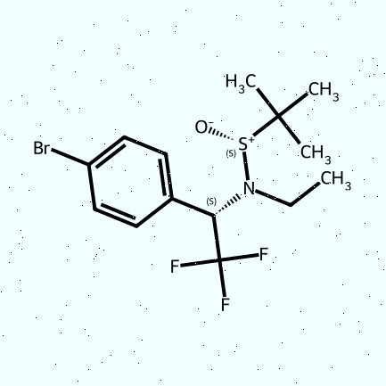 CCN([C@@H](c1ccc(Br)cc1)C(F)(F)F)[S@+]([O-])C(C)(C)C